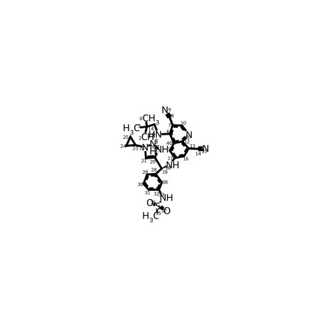 CC(C)(C)CNc1c(C#N)cnc2c(C#N)cc(N[C@H](C3=CN(C4CC4)NN3)c3cccc(NS(C)(=O)=O)c3)cc12